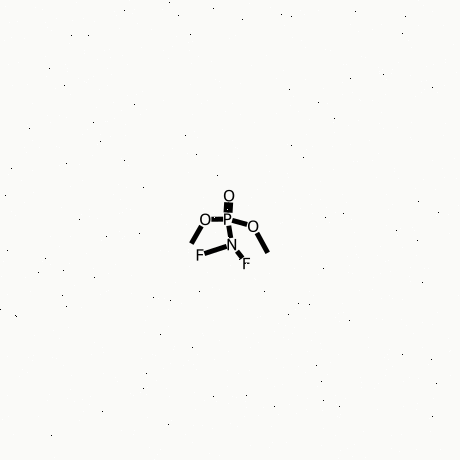 COP(=O)(OC)N(F)F